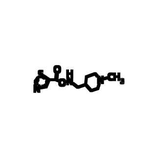 CN1CCC(CNOC(=O)c2cncs2)CC1